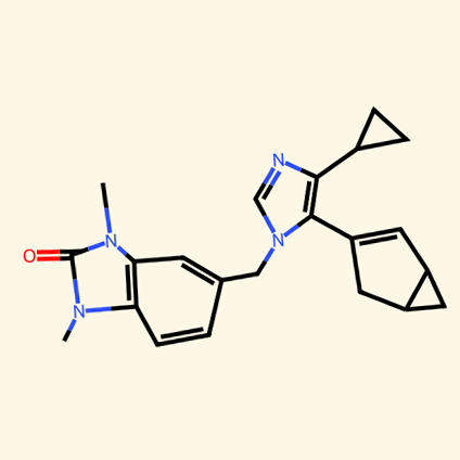 Cn1c(=O)n(C)c2cc(Cn3cnc(C4CC4)c3C3=CC4CC4C3)ccc21